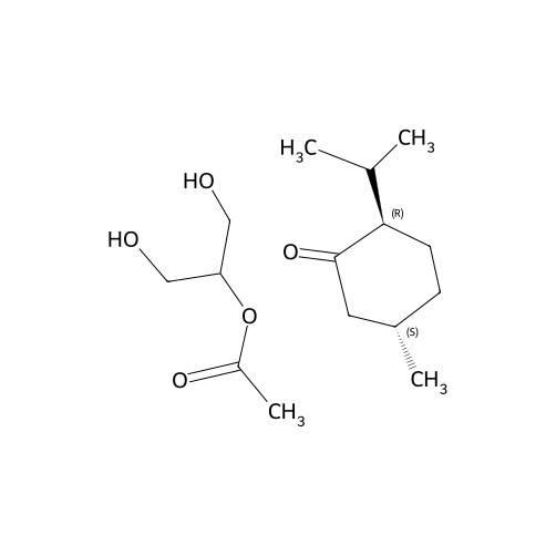 CC(=O)OC(CO)CO.CC(C)[C@H]1CC[C@H](C)CC1=O